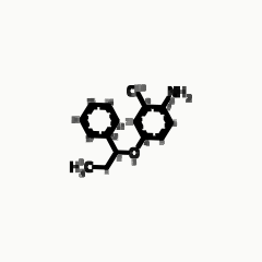 CCC(Oc1ccc(N)c(Cl)c1)c1ccccc1